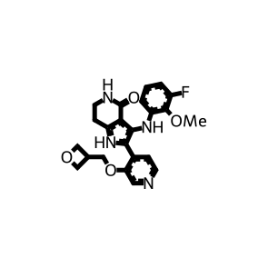 COc1c(F)cccc1Nc1c(-c2ccncc2OCC2COC2)[nH]c2c1C(=O)NCC2